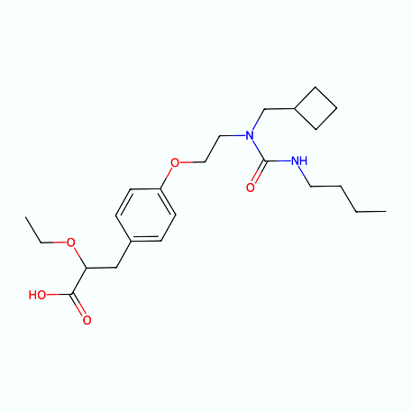 CCCCNC(=O)N(CCOc1ccc(CC(OCC)C(=O)O)cc1)CC1CCC1